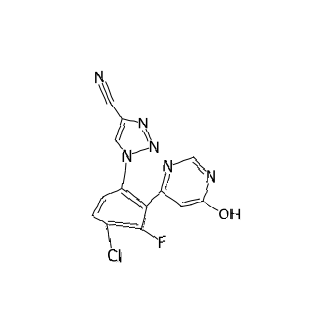 N#Cc1cn(-c2ccc(Cl)c(F)c2-c2cc(O)ncn2)nn1